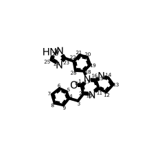 O=c1c(Cc2ccccc2)nc2cccnc2n1-c1cccc(-c2nc[nH]n2)c1